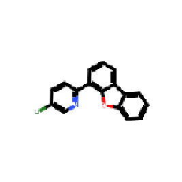 Clc1ccc(-c2cccc3c2oc2ccccc23)nc1